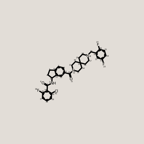 O=C(NC1CCc2ccc(C(=O)N3CCC4(CCN(Cc5cc(F)ccc5F)CC4)CC3)cc21)c1c(F)cccc1Cl